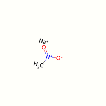 C[N+](=O)[O-].[Na+]